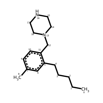 CCCCCc1cc(C)ccc1CN1CCNCC1